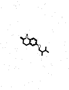 C=C1CCc2cc(OCC(C)C(C)C)ccc2N1C